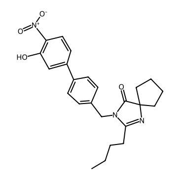 CCCCC1=NC2(CCCC2)C(=O)N1Cc1ccc(-c2ccc([N+](=O)[O-])c(O)c2)cc1